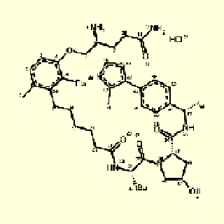 Cc1ccc(OC[C@@H](N)CCC(N)=O)c(F)c1CCCCCC(=O)N[C@H](C(=O)N1C[C@H](O)C[C@H]1C(=O)N[C@@H](C)c1ccc(-c2scnc2C)cc1)C(C)(C)C.Cl